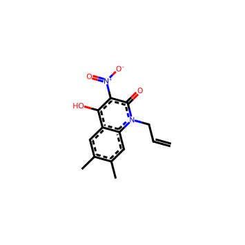 C=CCn1c(=O)c([N+](=O)[O-])c(O)c2cc(C)c(C)cc21